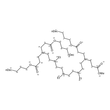 CCCCCCCCCCCCCOC(=O)CCN(CCC(=O)OC)CCN(CC)CCN(CC)CCN(CC)CCN(CCC(=O)OCCCCCCCCCCCCC)CCC(=O)OCCCCCCCCCCCCC